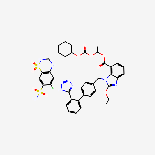 CCOc1nc2cccc(C(=O)OC(C)OC(=O)OC3CCCCC3)c2n1Cc1ccc(-c2ccccc2-c2nnn[nH]2)cc1.NS(=O)(=O)c1cc2c(cc1Cl)NCNS2(=O)=O